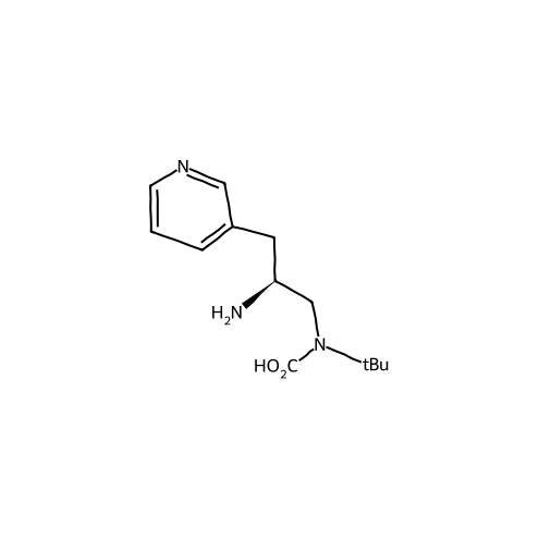 CC(C)(C)N(C[C@@H](N)Cc1cccnc1)C(=O)O